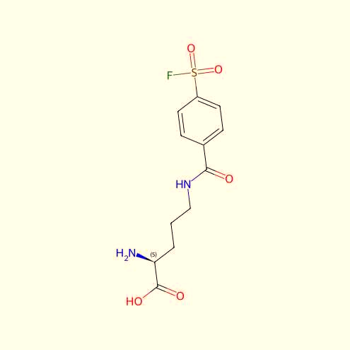 N[C@@H](CCCNC(=O)c1ccc(S(=O)(=O)F)cc1)C(=O)O